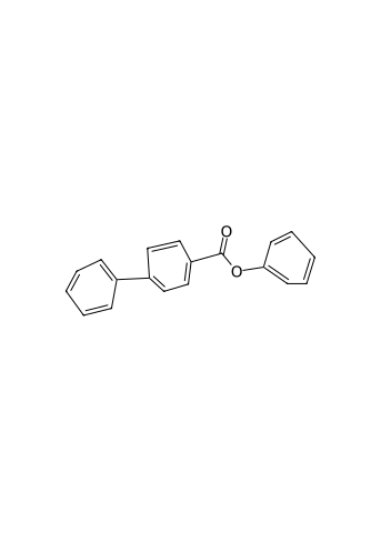 O=C(Oc1ccccc1)c1ccc(-c2ccccc2)cc1